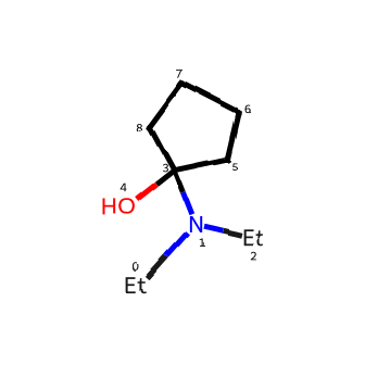 CCN(CC)C1(O)CCCC1